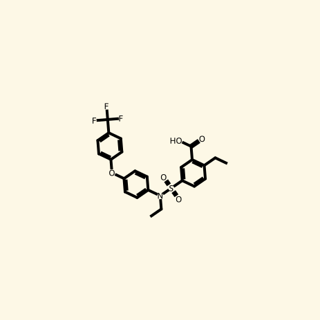 CCc1ccc(S(=O)(=O)N(CC)c2ccc(Oc3ccc(C(F)(F)F)cc3)cc2)cc1C(=O)O